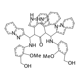 COc1c(CO)cccc1NC(c1cc2ccccn2n1)C(C(=O)C(c1c[nH]c2ccccc12)C(Nc1cccc(CO)c1OC)c1cc2ccccn2n1)c1c[nH]c2ccccc12